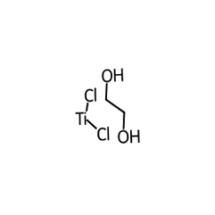 OCCO.[Cl][Ti][Cl]